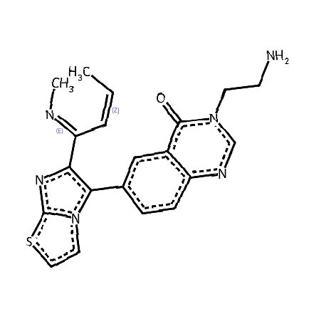 C/C=C\C(=N/C)c1nc2sccn2c1-c1ccc2ncn(CCN)c(=O)c2c1